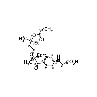 C=CC(=O)OC(C)(CC)CCOC(C)(CC)C(=O)c1ccc(NCC(=O)O)cc1